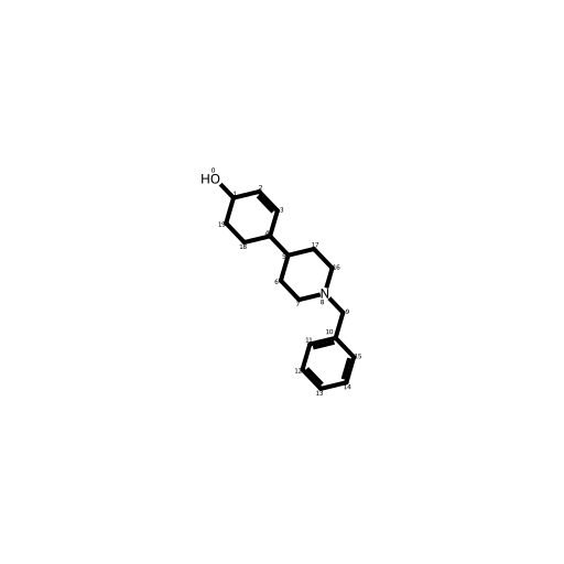 OC1C=CC(C2CCN(Cc3ccccc3)CC2)CC1